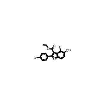 CCOC(=O)c1c(-c2ccc(Br)cc2)oc2ccc(O)c(F)c12